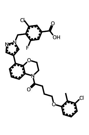 Cc1c(Cl)cccc1OCCCC(=O)N1CCOc2c(-c3cnn(Cc4c(F)cc(C(=O)O)cc4Cl)c3)cccc21